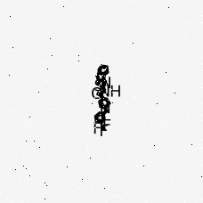 O=C(NC1=NC2c3ccccc3CC2S1)C1CCN(Cc2cccc(C(F)(F)F)c2)CC1